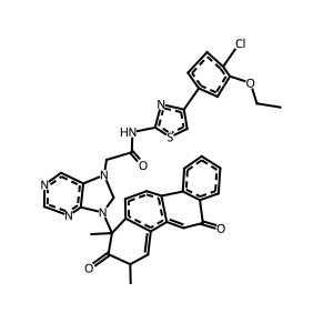 CCOc1cc(-c2csc(NC(=O)CN3CN(C4(C)C(=O)C(C)C=c5c4ccc4c5=CC(=O)c5ccccc5-4)c4ncncc43)n2)ccc1Cl